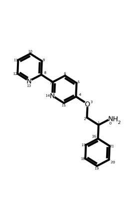 NC(COc1ccc(-c2ccccn2)nc1)c1ccccc1